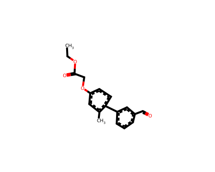 CCOC(=O)COc1ccc(-c2cccc(C=O)c2)c(C)c1